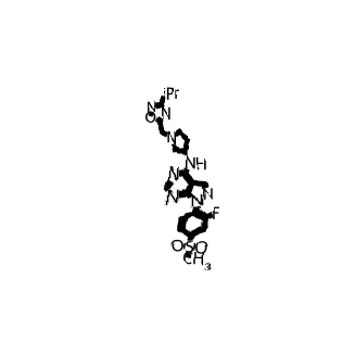 CC(C)c1noc(CN2CC[C@@H](Nc3ncnc4c3cnn4-c3ccc(S(C)(=O)=O)cc3F)C2)n1